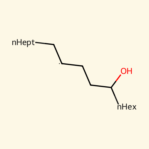 CCCCCCCC[CH]CCC(O)CCCCCC